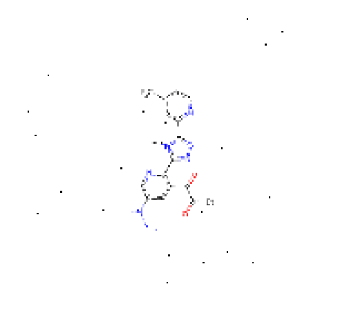 CCC(=O)C(=O)c1cc(N(C)N)cnc1-c1nnc(-c2cc(C(F)(F)F)ccn2)n1C